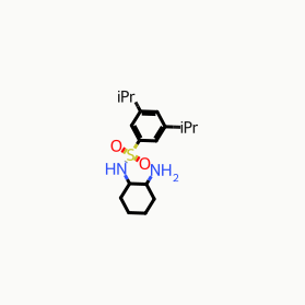 CC(C)c1cc(C(C)C)cc(S(=O)(=O)NC2CCCCC2N)c1